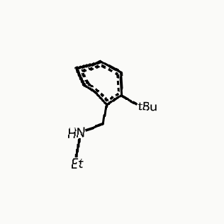 CCNCc1ccccc1C(C)(C)C